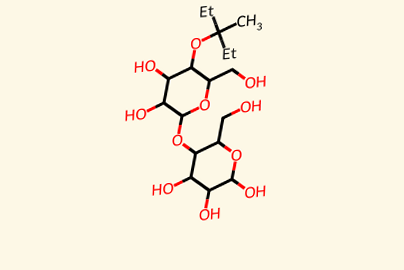 CCC(C)(CC)OC1C(CO)OC(OC2C(CO)OC(O)C(O)C2O)C(O)C1O